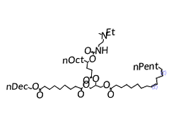 CCCCC/C=C\C/C=C\CCCCCCCC(=O)OCC(COC(=O)CCCCCCCC(=O)OCCCCCCCCCCC)OC(=O)CCC(CCCCCCCC)OC(=O)NCCN(C)CC